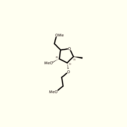 COCCO[C@H]1[C@H](C)OC(COC)[C@H]1OC